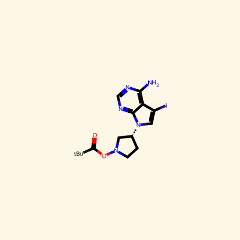 CC(C)(C)C(=O)ON1CC[C@@H](n2cc(I)c3c(N)ncnc32)C1